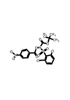 CC(C)(C)OC(=O)N(OC(=O)c1ccc([N+](=O)[O-])cc1)S(=O)(=O)c1c(Cl)cccc1Cl